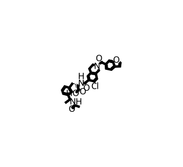 CC(=O)NC(C)c1cccc(C[C@H](NC(=O)c2cc3c(cc2Cl)CN(C(=O)c2ccc4ccoc4c2)CC3)C(=O)O)c1